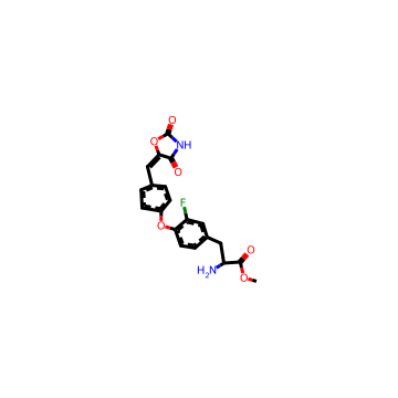 COC(=O)C(N)Cc1ccc(Oc2ccc(C=C3OC(=O)NC3=O)cc2)c(F)c1